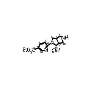 CCOC(=O)c1ccc(N2CC3CNCC3C2)nc1.Cl